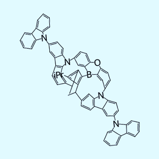 CC(C)c1cc2c3c(c1)C(C)c1ccc4c5cc(-n6c7ccccc7c7ccccc76)ccc5n(c4c1)-c1ccc4c(c1)B3c1cc(ccc1O4)-n1c3ccc(-n4c5ccccc5c5ccccc54)cc3c3ccc(cc31)C2C